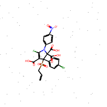 C=CCS(=O)(=O)C1(c2ccc(Br)cc2)C(C(=O)O)=C(F)N(c2ccc([N+](=O)[O-])cc2)C1(C(=O)O)C(=O)O